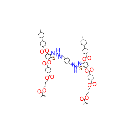 C=C(C)C(=O)OCCCCOC(=O)C1CCC(C(=O)Oc2ccc(OC(=O)C3CCC(C4CCC(C)CC4)CC3)c3nc(N/N=C/c4ccc(/C=N/Nc5nc6c(OC(=O)C7CCC(C8CCC(C)CC8)CC7)ccc(OC(=O)C7CCC(C(=O)OCCCCOC(=O)C(=C)C)CC7)c6s5)cc4)sc23)CC1